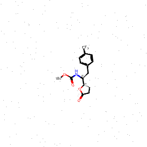 CC(C)(C)OC(=O)N[C@@H](Cc1ccc(C(F)(F)F)cc1)[C@@H]1CCC(=O)O1